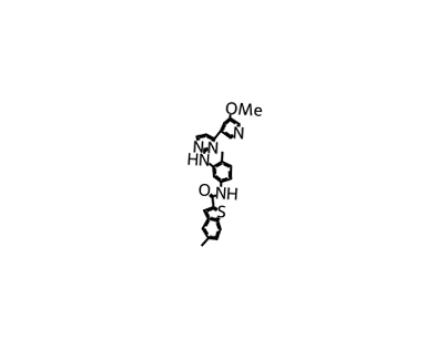 COc1cncc(-c2ccnc(Nc3cc(NC(=O)c4cc5cc(C)ccc5s4)ccc3C)n2)c1